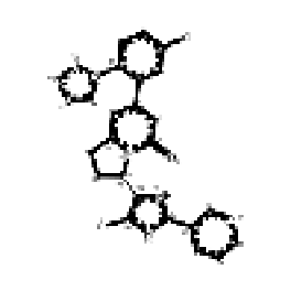 O=c1cc(-c2cc(Cl)ccc2-n2cnnn2)cc2n1[C@H](c1[nH]c(-c3cc[c]nc3)nc1Cl)CC2